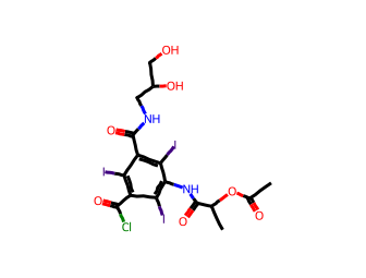 CC(=O)OC(C)C(=O)Nc1c(I)c(C(=O)Cl)c(I)c(C(=O)NCC(O)CO)c1I